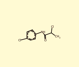 CC(Cl)C(=O)Nc1ccc(Cl)cc1